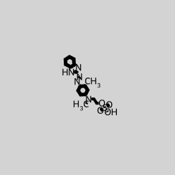 Cc1cc(N(C)CCOS(=O)(=O)O)ccc1N=Nc1nc2ccccc2[nH]1